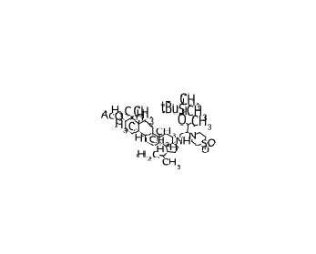 C=C(C)[C@@H]1CC[C@]2(NCC(C(C)O[Si](C)(C)C(C)(C)C)N3CCS(=O)(=O)CC3)CC[C@]3(C)[C@H](CC[C@@H]4[C@@]5(C)CC[C@H](OC(C)=O)C(C)(C)[C@@H]5CC[C@]43C)[C@@H]12